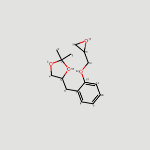 CC1(C)OCC(Cc2ccccc2OCC2CO2)O1